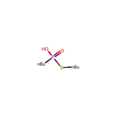 CCCCSP(=O)(O)CCCC